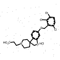 CCc1ccc(Cl)c(CSc2ccc3c(c2)OCC32CCN(CCC(=O)O)CC2)c1Cl.Cl